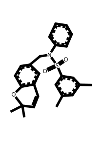 Cc1cc(C)cc(S(=O)(=O)N(Cc2ccc3c(c2)C=CC(C)(C)O3)c2ccccc2)c1